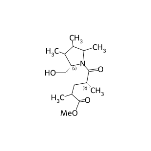 COC(=O)C(C)C[C@@H](C)C(=O)N1C(C)C(C)C(C)[C@H]1CO